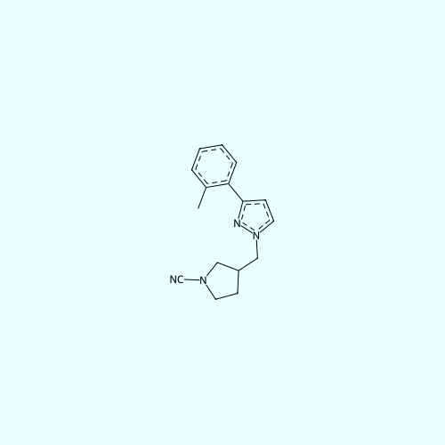 Cc1ccccc1-c1ccn(CC2CCN(C#N)C2)n1